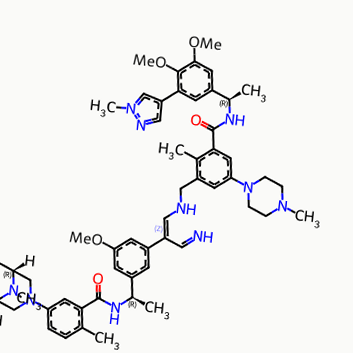 COc1cc(/C(C=N)=C/NCc2cc(N3CCN(C)CC3)cc(C(=O)N[C@H](C)c3cc(OC)c(OC)c(-c4cnn(C)c4)c3)c2C)cc([C@@H](C)NC(=O)c2cc(N3C[C@H]4CCC[C@@H](C3)N4C)ccc2C)c1